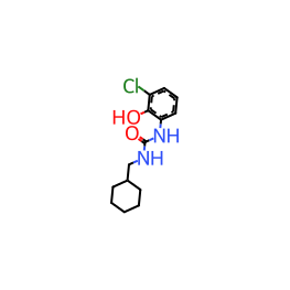 O=C(NCC1CCCCC1)Nc1cccc(Cl)c1O